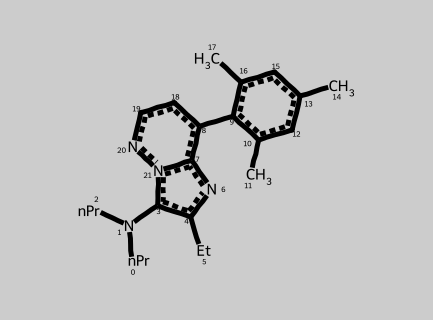 CCCN(CCC)c1c(CC)nc2c(-c3c(C)cc(C)cc3C)ccnn12